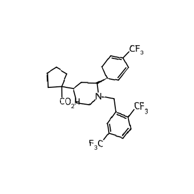 O=C(O)C1(C2CCN(Cc3cc(C(F)(F)F)ccc3C(F)(F)F)C([C@@H]3C=CC(C(F)(F)F)=CC3)C2)CCCC1